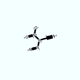 [N]=NN(C#N)[N+](=O)[O-]